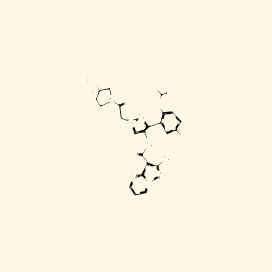 Nc1nn2cccnc2c1C(=O)Nc1cn(CC(=O)N2CC[C@@H](O)C2)nc1-c1cc(Cl)ccc1OC(F)F